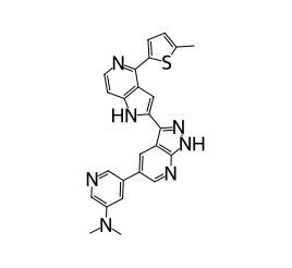 Cc1ccc(-c2nccc3[nH]c(-c4n[nH]c5ncc(-c6cncc(N(C)C)c6)cc45)cc23)s1